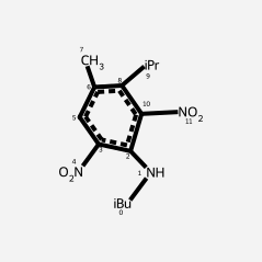 CCC(C)Nc1c([N+](=O)[O-])cc(C)c(C(C)C)c1[N+](=O)[O-]